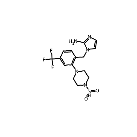 Nc1nccn1Cc1ccc(C(F)(F)F)cc1N1CCN([SH](=O)=O)CC1